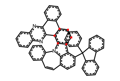 C1=Cc2ccc(C3(c4ccccc4)c4ccccc4-c4ccccc43)c3c4ccc(-c5ccccc5-c5nc6ccccc6nc5-c5ccccc5)cc4n(c23)-c2ccccc21